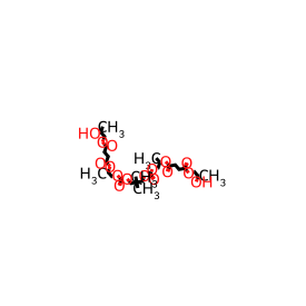 CC(O)COC(=O)CCC(=O)OC(C)COC(=O)OCC(C)(C)COC(=O)OCC(C)OC(=O)CCC(=O)OCC(C)O